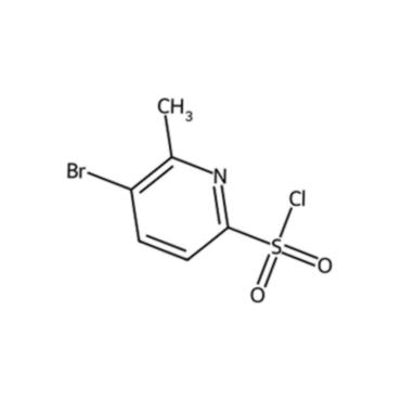 Cc1nc(S(=O)(=O)Cl)ccc1Br